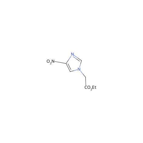 CCOC(=O)Cn1cnc([N+](=O)[O-])c1